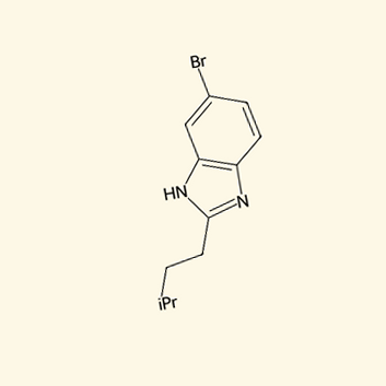 CC(C)CCc1nc2ccc(Br)cc2[nH]1